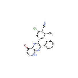 Cc1cc(-c2nc3c(=O)cc[nH]c3nc2-c2ccccc2)cc(Cl)c1C#N